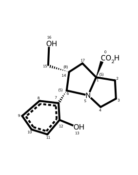 O=C(O)[C@@]12CCCN1[C@H](c1ccccc1O)[C@H](CO)C2